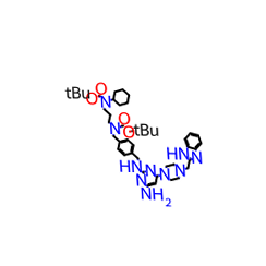 CC(C)(C)OC(=O)N(CCCN(C(=O)OC(C)(C)C)C1CCCCC1)Cc1ccc(CNc2nc(N)cc(N3CCN(Cc4nc5ccccc5[nH]4)CC3)n2)cc1